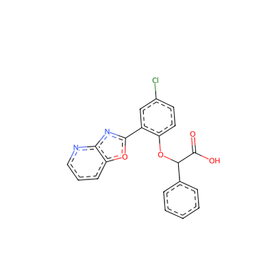 O=C(O)C(Oc1ccc(Cl)cc1-c1nc2ncccc2o1)c1ccccc1